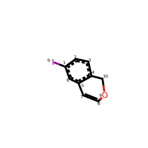 Ic1ccc2c(c1)C=COC2